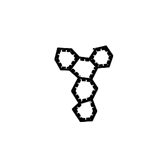 [c]1cccc2c1c1ccccc1c1cc3ccccc3cc21